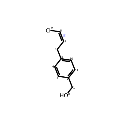 OCc1ccc(C/C=C\Cl)cc1